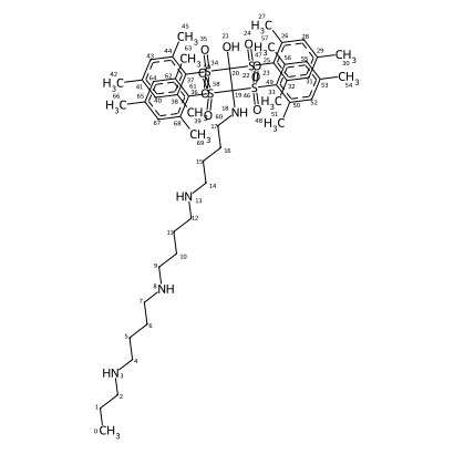 CCCNCCCCNCCCCNCCCCNC(C(O)(S(=O)(=O)c1c(C)cc(C)cc1C)S(=O)(=O)c1c(C)cc(C)cc1C)(S(=O)(=O)c1c(C)cc(C)cc1C)S(=O)(=O)c1c(C)cc(C)cc1C